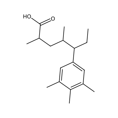 CCC(c1cc(C)c(C)c(C)c1)C(C)CC(C)C(=O)O